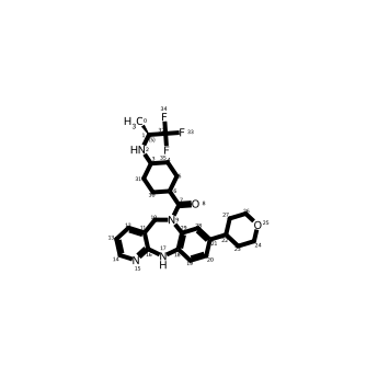 C[C@H](NC1CCC(C(=O)N2Cc3cccnc3Nc3ccc(C4CCOCC4)cc32)CC1)C(F)(F)F